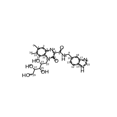 Cc1cc2nc(C(=O)NCc3ccc4[nH]cnc4c3)c(=O)n(CC(O)C(O)C(O)CO)c2cc1C